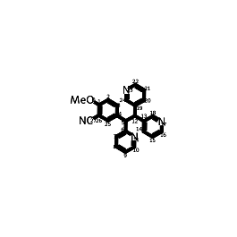 COc1ccc(C(c2ccccn2)C(c2cccnc2)c2cccnc2)cc1C#N